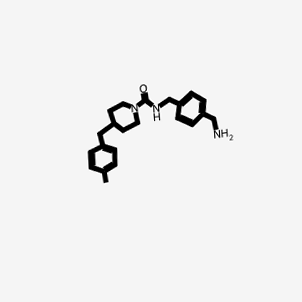 Cc1ccc(CC2CCN(C(=O)NCc3ccc(CN)cc3)CC2)cc1